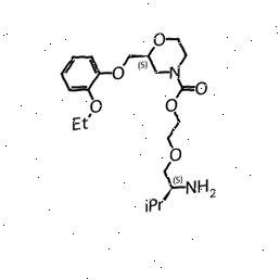 CCOc1ccccc1OC[C@@H]1CN(C(=O)OCCOC[C@@H](N)C(C)C)CCO1